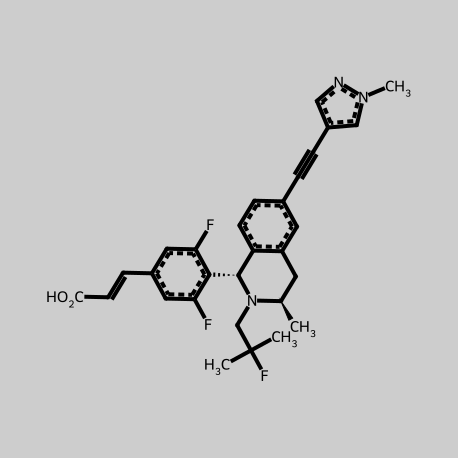 C[C@@H]1Cc2cc(C#Cc3cnn(C)c3)ccc2[C@@H](c2c(F)cc(/C=C/C(=O)O)cc2F)N1CC(C)(C)F